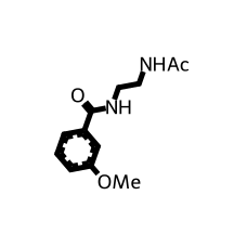 COc1cccc(C(=O)NCCNC(C)=O)c1